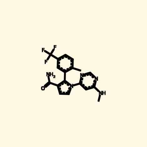 CNc1cc(-n2ccc(C(N)=O)c2-c2cc(C(F)(F)F)ccc2C)ncn1